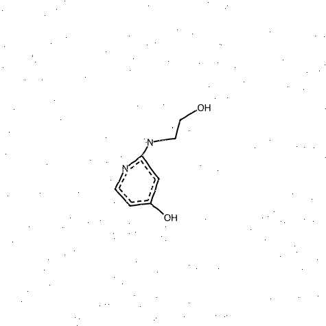 OCC[N]c1cc(O)ccn1